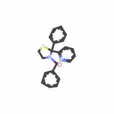 O=C(c1ccccc1)N1CCSC1(c1ccccc1)c1ccccn1